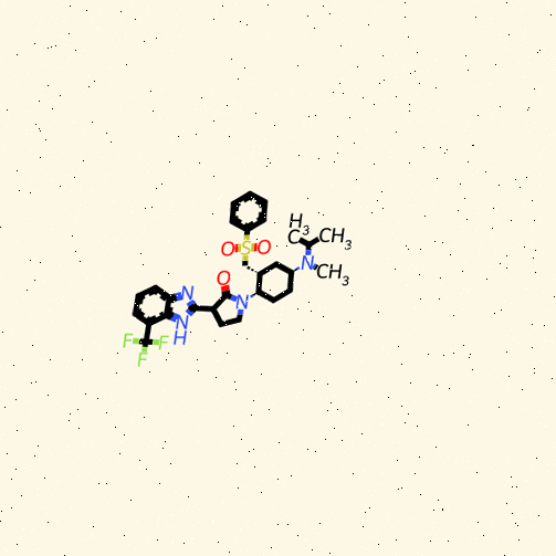 CC(C)N(C)[C@@H]1CC[C@H](N2CCC(c3nc4cccc(C(F)(F)F)c4[nH]3)C2=O)[C@H](CS(=O)(=O)c2ccccc2)C1